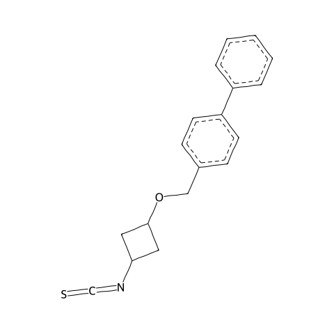 S=C=NC1CC(OCc2ccc(-c3ccccc3)cc2)C1